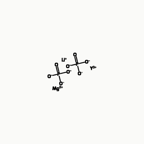 O=P([O-])([O-])[O-].O=P([O-])([O-])[O-].[Li+].[Mg+2].[Y+3]